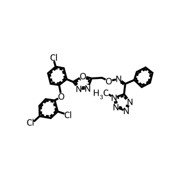 Cn1nnnc1/C(=N\OCc1nnc(-c2cc(Cl)ccc2Oc2ccc(Cl)cc2Cl)o1)c1ccccc1